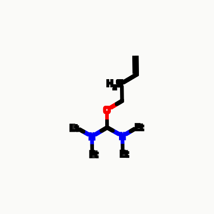 C=C[SiH2]COC(N(CC)CC)N(CC)CC